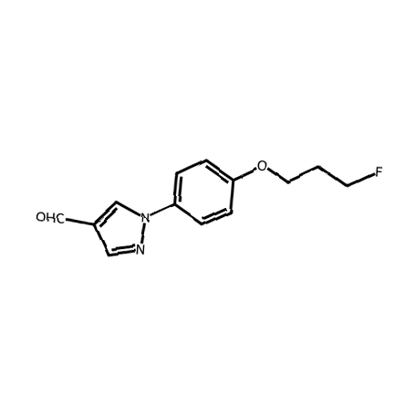 O=Cc1cnn(-c2ccc(OCCCF)cc2)c1